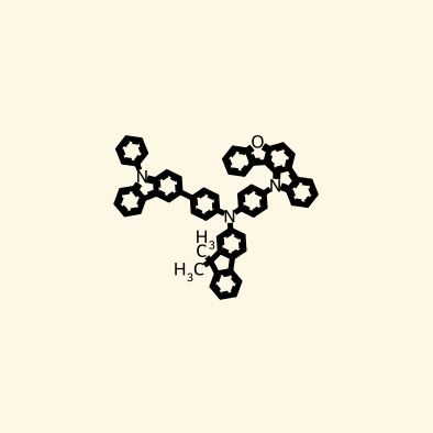 CC1(C)c2ccccc2-c2ccc(N(c3ccc(-c4ccc5c(c4)c4ccccc4n5-c4ccccc4)cc3)c3ccc(-n4c5ccccc5c5ccc6oc7ccccc7c6c54)cc3)cc21